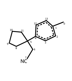 Cc1ccc(C2(CC#N)CCCC2)cc1